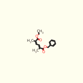 CCOC(=O)C(C)=CC=C(C)C(=O)OCc1ccccc1